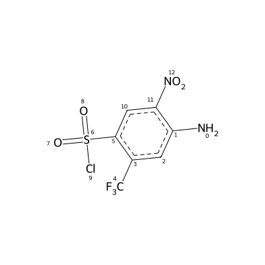 Nc1cc(C(F)(F)F)c(S(=O)(=O)Cl)cc1[N+](=O)[O-]